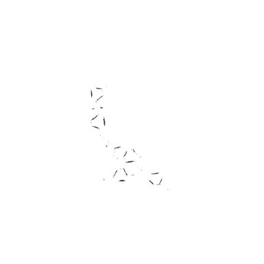 COc1ccc(CN(Cc2ccc(OC)cc2)c2cc3[nH]c(C(=O)NCc4ccc(S(=O)(=O)c5cc(F)cc(F)c5)cc4)cc3c(Cl)n2)cc1